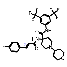 O=C(/C=C/c1ccc(F)cc1)NC1(C(=O)Nc2cc(C(F)(F)F)cc(C(F)(F)F)c2)CCN(C2CCOCC2)CC1